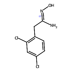 N/C(Cc1ccc(Cl)cc1Cl)=N\O